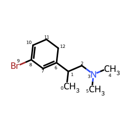 CC(CN(C)C)C1=CC(Br)=CCC1